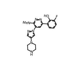 CNc1nnc(-c2cccc(F)c2O)cc1-n1cc(N2CCNCC2)cn1